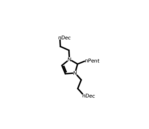 CCCCCCCCCCCCN1C=CN(CCCCCCCCCCCC)C1CCCCC